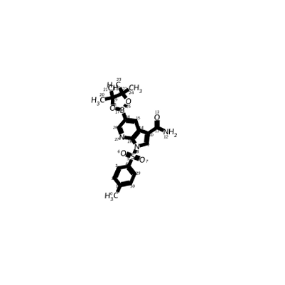 Cc1ccc(S(=O)(=O)n2cc(C(N)=O)c3cc(B4OC(C)(C)C(C)(C)O4)cnc32)cc1